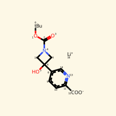 CC(C)(C)OC(=O)N1CC(O)(c2ccc(C(=O)[O-])nc2)C1.[Li+]